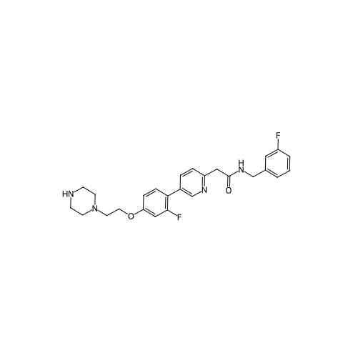 O=C(Cc1ccc(-c2ccc(OCCN3CCNCC3)cc2F)cn1)NCc1cccc(F)c1